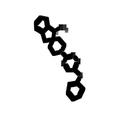 N[C@@H]1c2ccccc2CC12CCN(c1ncc(Sc3ccccc3)nn1)CC2